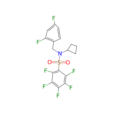 O=S(=O)(c1c(F)c(F)c(F)c(F)c1F)N(Cc1ccc(F)cc1F)C1CCC1